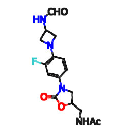 CC(=O)NCC1CN(c2ccc(N3CC(NC=O)C3)c(F)c2)C(=O)O1